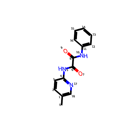 Cc1ccc(NC(=O)C(=O)Nc2ccccc2)nc1